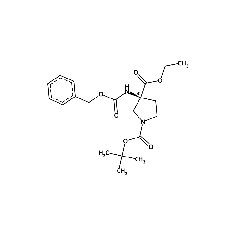 CCOC(=O)[C@]1(NC(=O)OCc2ccccc2)CCN(C(=O)OC(C)(C)C)C1